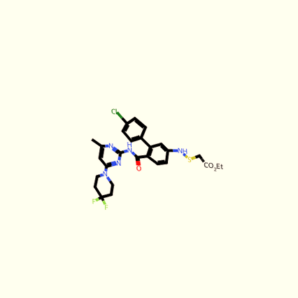 CCOC(=O)CSNc1ccc(C(=O)Nc2nc(C)cc(N3CCC(F)(F)CC3)n2)c(-c2ccc(Cl)cc2)c1